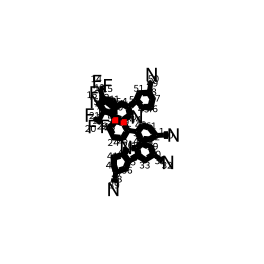 N#Cc1ccc(-c2cc(-c3ccc(C(F)(F)F)cc3C(F)(F)F)ccc2-n2c3ccc(C#N)cc3c3cc(C#N)ccc32)c(-n2c3ccc(C#N)cc3c3cc(C#N)ccc32)c1